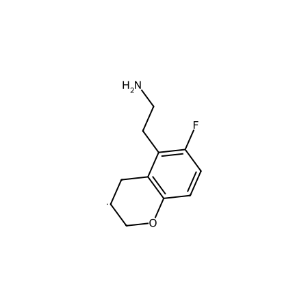 NCCc1c(F)ccc2c1C[CH]CO2